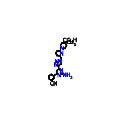 CC1(C(=O)O)CCN(c2cccc(Cn3cc(-c4cc(-c5cccc(C#N)c5)nc(N)n4)nn3)n2)CC1